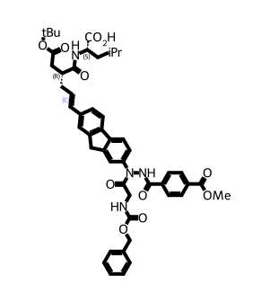 COC(=O)c1ccc(C(=O)NN(C(=O)CNC(=O)OCc2ccccc2)c2ccc3c(c2)Cc2cc(/C=C/C[C@H](CC(=O)OC(C)(C)C)C(=O)N[C@@H](CC(C)C)C(=O)O)ccc2-3)cc1